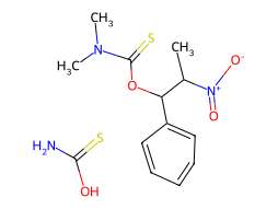 CC(C(OC(=S)N(C)C)c1ccccc1)[N+](=O)[O-].NC(O)=S